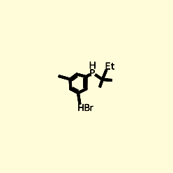 Br.CCC(C)(C)Pc1cc(C)cc(C)c1